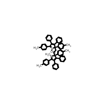 Cc1ccc(C2=[Si](C)C(CCC3(c4ccc(C)cc4)C(c4ccccc4)=C(c4ccccc4)C(c4ccc(C)cc4)=[Si]3C)(c3ccc(C)cc3)C(c3ccccc3)=C2c2ccccc2)cc1